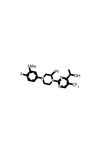 CSc1cc(N2CCN(c3ncc(C(F)(F)F)c(C(C)O)n3)C(C(C)C)C2)ccc1F